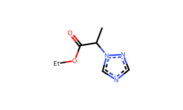 CCOC(=O)C(C)n1cncn1